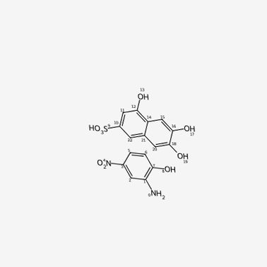 Nc1cc([N+](=O)[O-])ccc1O.O=S(=O)(O)c1cc(O)c2cc(O)c(O)cc2c1